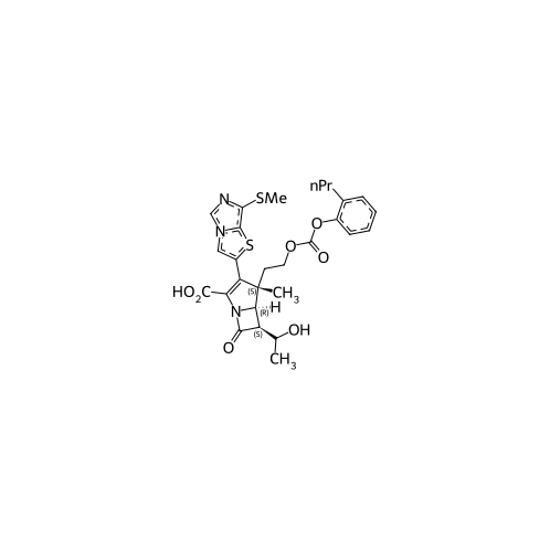 CCCc1ccccc1OC(=O)OCC[C@@]1(C)C(c2cn3cnc(SC)c3s2)=C(C(=O)O)N2C(=O)[C@H](C(C)O)[C@@H]21